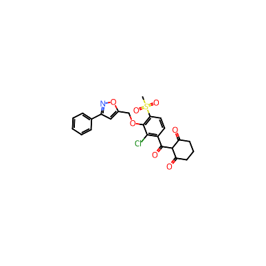 CS(=O)(=O)c1ccc(C(=O)C2C(=O)CCCC2=O)c(Cl)c1OCc1cc(-c2ccccc2)no1